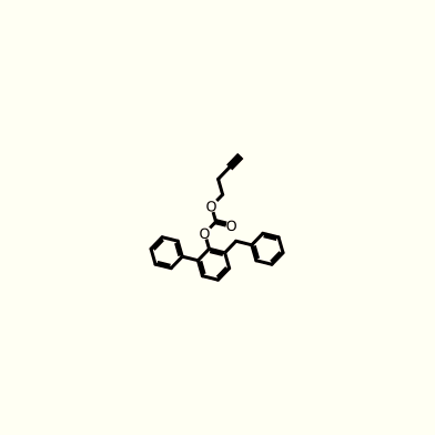 C#CCCOC(=O)Oc1c(Cc2ccccc2)cccc1-c1ccccc1